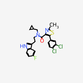 Cc1nc(C(=O)N(CCc2c[nH]c3ccc(F)cc23)CC2CC2)c(-c2ccc(Cl)c(Cl)c2)s1